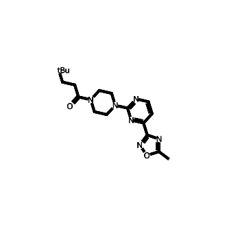 Cc1nc(-c2ccnc(N3CCN(C(=O)CCC(C)(C)C)CC3)n2)no1